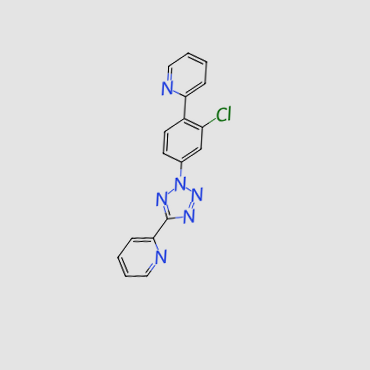 Clc1cc(-n2nnc(-c3ccccn3)n2)ccc1-c1ccccn1